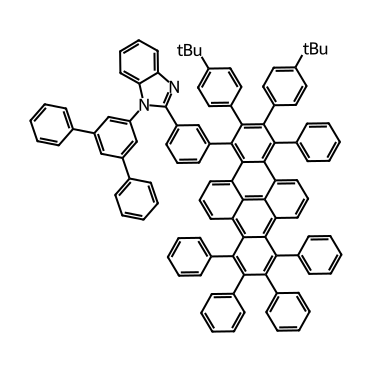 CC(C)(C)c1ccc(-c2c(-c3ccc(C(C)(C)C)cc3)c(-c3cccc(-c4nc5ccccc5n4-c4cc(-c5ccccc5)cc(-c5ccccc5)c4)c3)c3c4cccc5c6c(-c7ccccc7)c(-c7ccccc7)c(-c7ccccc7)c(-c7ccccc7)c6c6cccc(c3c2-c2ccccc2)c6c54)cc1